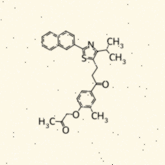 CC(=O)COc1ccc(C(=O)CCc2sc(-c3ccc4ccccc4c3)nc2C(C)C)cc1C